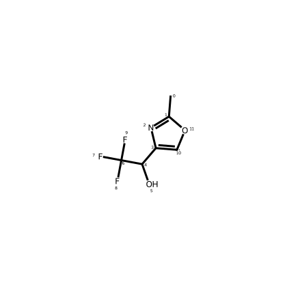 Cc1nc(C(O)C(F)(F)F)[c]o1